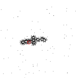 c1ccc2cc(-c3ccc(-c4c5ccccc5c(-c5cc6cc7ccccc7cc6o5)c5ccccc45)cc3)ccc2c1